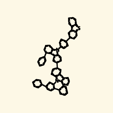 c1ccc(-c2ccc(-c3ccccc3)c(-n3c4ccccc4c4cc(-c5ccc6c(c5)c5c(-c7ccccc7)cccc5n6-c5ccc(-c6ccc7sc8ccccc8c7c6)cc5)ccc43)c2)cc1